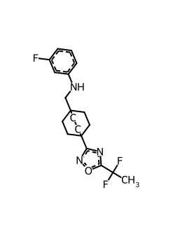 CC(F)(F)c1nc(C23CCC(CNc4cccc(F)c4)(CC2)CC3)no1